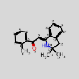 Cc1ccccc1C(=O)/C=C1\NC(C)(C)Cc2ccccc21